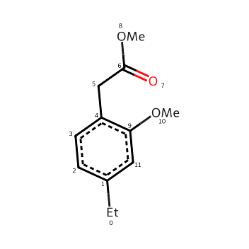 CCc1ccc(CC(=O)OC)c(OC)c1